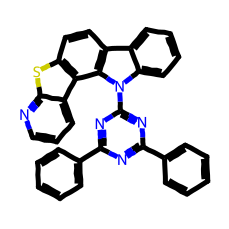 c1ccc(-c2nc(-c3ccccc3)nc(-n3c4ccccc4c4ccc5sc6ncccc6c5c43)n2)cc1